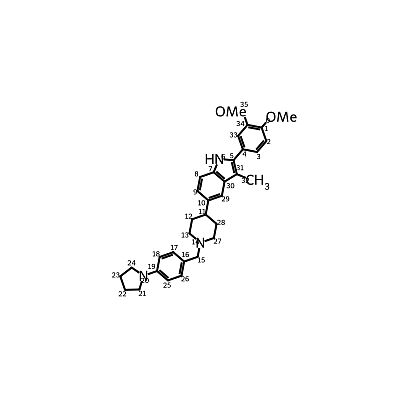 COc1ccc(-c2[nH]c3ccc(C4CCN(Cc5ccc(N6CCCC6)cc5)CC4)cc3c2C)cc1OC